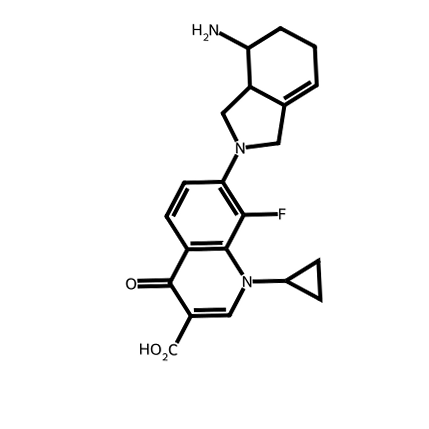 NC1CCC=C2CN(c3ccc4c(=O)c(C(=O)O)cn(C5CC5)c4c3F)CC21